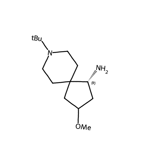 COC1C[C@@H](N)C2(CCN(C(C)(C)C)CC2)C1